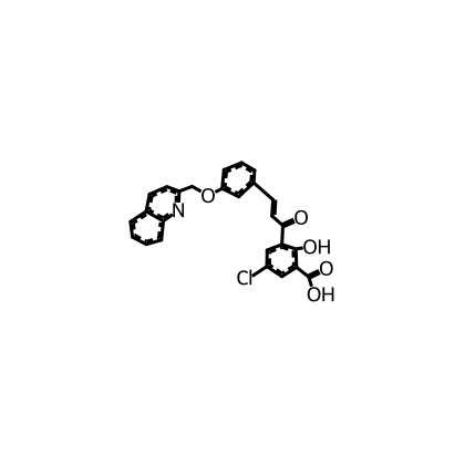 O=C(O)c1cc(Cl)cc(C(=O)C=Cc2cccc(OCc3ccc4ccccc4n3)c2)c1O